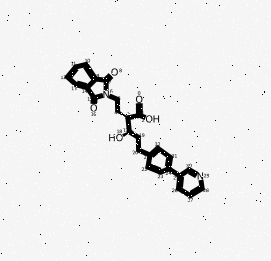 O=C(O)[C@H](CCN1C(=O)c2ccccc2C1=O)[C@H](O)CCc1ccc(-c2cccnc2)cc1